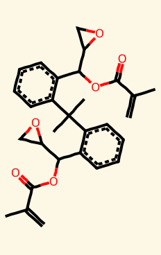 C=C(C)C(=O)OC(c1ccccc1C(C)(C)c1ccccc1C(OC(=O)C(=C)C)C1CO1)C1CO1